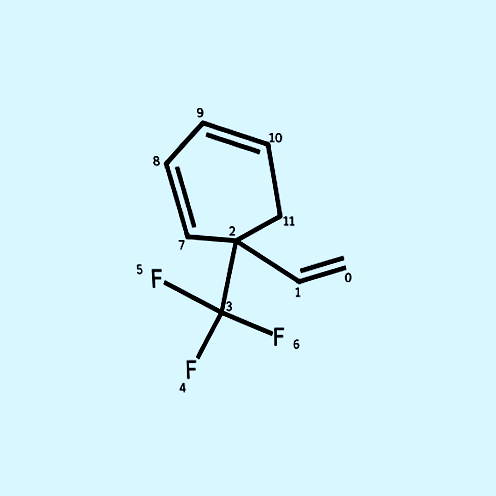 C=CC1(C(F)(F)F)C=CC=CC1